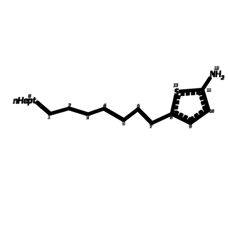 CCCCCCCCCCCCCCc1ccc(N)s1